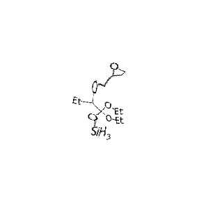 CCOC(O[SiH3])(OCC)C(CC)OCC1CO1